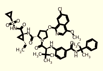 C=C[C@@H]1C[C@]1(NC(=O)[C@@H]1C[C@@H](Oc2ncc(OC)c3ccc(Cl)cc23)CN1C(=O)[C@@H](Nc1cccc(C(=O)NC(C)(C)c2ccccc2)c1)C(C)(C)C)C(=O)NS(=O)(=O)C1CC1